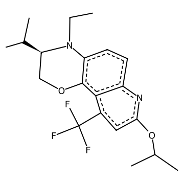 CCN1c2ccc3nc(OC(C)C)cc(C(F)(F)F)c3c2OC[C@H]1C(C)C